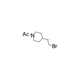 CC(=O)N1CCC([CH]CBr)CC1